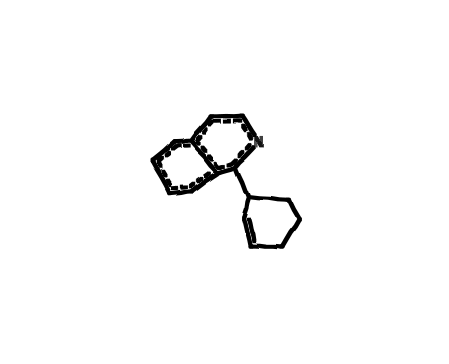 C1=CC(c2nccc3ccccc23)CCC1